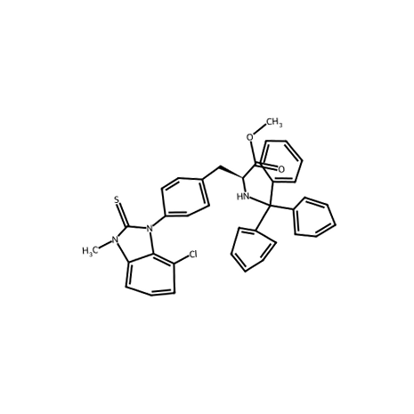 COC(=O)[C@H](Cc1ccc(-n2c(=S)n(C)c3cccc(Cl)c32)cc1)NC(c1ccccc1)(c1ccccc1)c1ccccc1